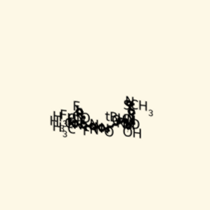 Cc1ncsc1-c1ccc(CNC(=O)[C@@H]2C[C@H](O)CN2C(=O)[C@@H](NC(=O)CCCCC(=O)N2CCN(c3ncc(-c4cc(NC(=O)c5ccc(F)cc5C(F)(F)F)c(N5C[C@@H](C)N(C)[C@@H](C)C5)cc4F)cn3)CC2)C(C)(C)C)cc1